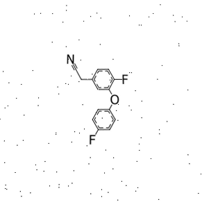 N#CCc1ccc(F)c(Oc2ccc(F)cc2)c1